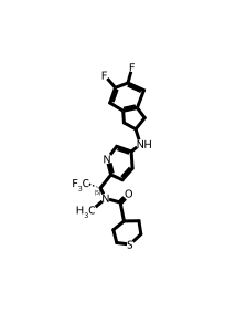 CN(C(=O)C1CCSCC1)[C@@H](c1ccc(NC2Cc3cc(F)c(F)cc3C2)cn1)C(F)(F)F